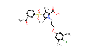 CC(=O)c1cccc(S(=O)(=O)c2c(C)c(C(=O)O)n(CCCOc3cc(C)c(Cl)c(C)c3)c2C)c1